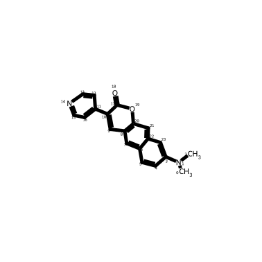 CN(C)c1ccc2cc3cc(-c4ccncc4)c(=O)oc3cc2c1